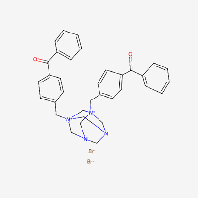 O=C(c1ccccc1)c1ccc(C[N+]23CN4CN(C2)C[N+](Cc2ccc(C(=O)c5ccccc5)cc2)(C4)C3)cc1.[Br-].[Br-]